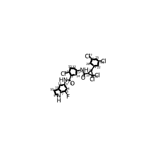 O=C(Nc1cc(F)c2[nH]ccc2c1)c1cc(NC(=O)C2C(c3cc(Cl)cc(Cl)c3)C2(Cl)Cl)ccc1Cl